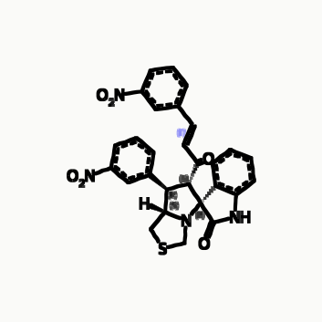 O=C(/C=C/c1cccc([N+](=O)[O-])c1)[C@H]1[C@H](c2cccc([N+](=O)[O-])c2)[C@H]2CSCN2[C@]12C(=O)Nc1ccccc12